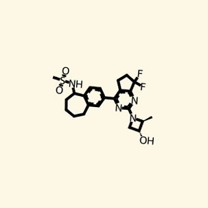 C[C@H]1[C@H](O)CN1c1nc(-c2ccc3c(c2)CCCCC3NS(C)(=O)=O)c2c(n1)C(F)(F)CC2